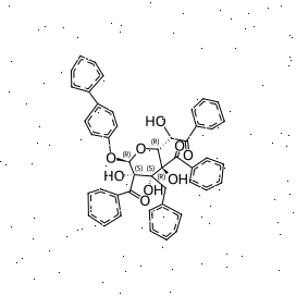 O=C(c1ccccc1)C(O)[C@H]1O[C@H](Oc2ccc(-c3ccccc3)cc2)[C@](O)(C(=O)c2ccccc2)[C@](O)(Cc2ccccc2)[C@@]1(O)C(=O)c1ccccc1